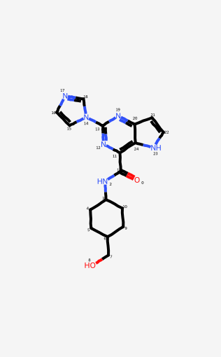 O=C(NC1CCC(CO)CC1)c1nc(-n2ccnc2)nc2cc[nH]c12